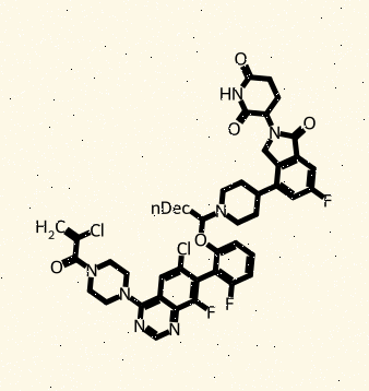 C=C(Cl)C(=O)N1CCN(c2ncnc3c(F)c(-c4c(F)cccc4OC(CCCCCCCCCC)N4CCC(c5cc(F)cc6c5CN(C5CCC(=O)NC5=O)C6=O)CC4)c(Cl)cc23)CC1